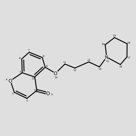 O=c1ccoc2cccc(OCCCCN3CCCCC3)c12